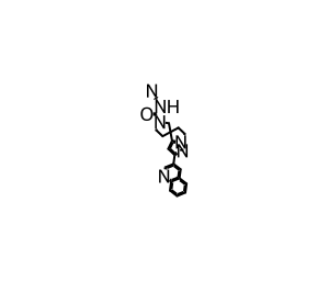 N#CNC(=O)N1CCC2(CCn3nc(-c4cnc5ccccc5c4)cc32)C1